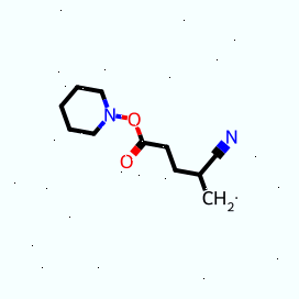 [CH2]C(C#N)CCC(=O)ON1CCCCC1